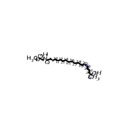 COC(=O)CNC(=O)CCCCCCCCCCCC/C=C\CCCC(C)O